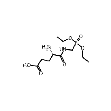 CCOP(=O)(CNC(=O)[C@@H](N)CCC(=O)O)OCC